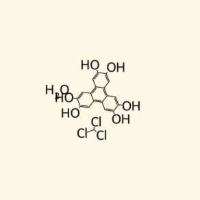 ClC(Cl)Cl.O.Oc1cc2c3cc(O)c(O)cc3c3cc(O)c(O)cc3c2cc1O